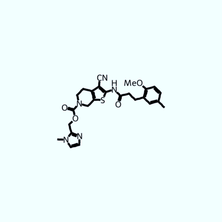 COc1ccc(C)cc1CCC(=O)Nc1sc2c(c1C#N)CCN(C(=O)OCc1nccn1C)C2